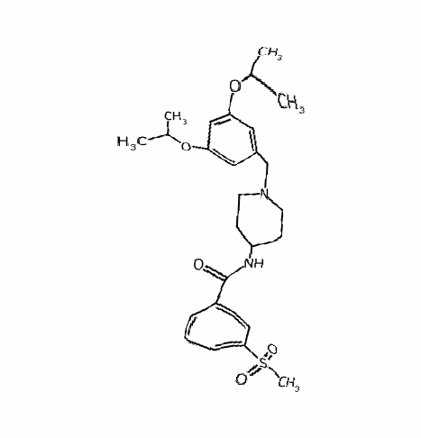 CC(C)Oc1cc(CN2CCC(NC(=O)c3cccc(S(C)(=O)=O)c3)CC2)cc(OC(C)C)c1